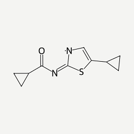 O=C(N=C1[N]C=C(C2CC2)S1)C1CC1